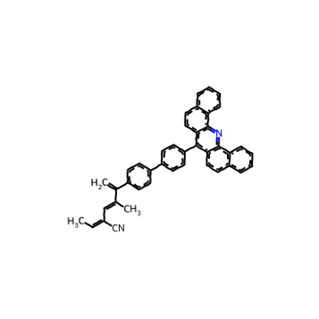 C=C(/C(C)=C/C(C#N)=C\C)c1ccc(-c2ccc(-c3c4ccc5ccccc5c4nc4c3ccc3ccccc34)cc2)cc1